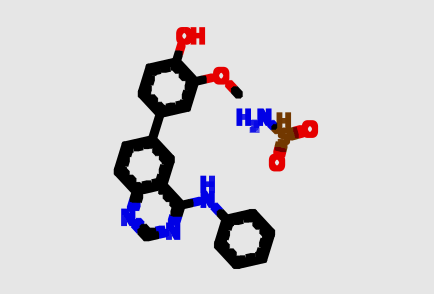 COc1cc(-c2ccc3ncnc(Nc4ccccc4)c3c2)ccc1O.N[SH](=O)=O